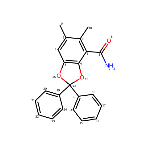 Cc1cc2c(c(C(N)=O)c1C)OC(c1ccccc1)(c1ccccc1)O2